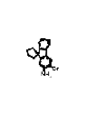 Nc1cc2c(cc1Br)-c1ccccc1C21CCCC1